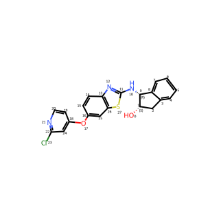 O[C@H]1Cc2ccccc2[C@H]1Nc1nc2ccc(Oc3ccnc(Cl)c3)cc2s1